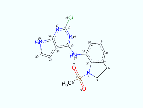 CS(=O)(=O)N1CCc2cccc(Nc3nc(Cl)nc4[nH]ccc34)c21